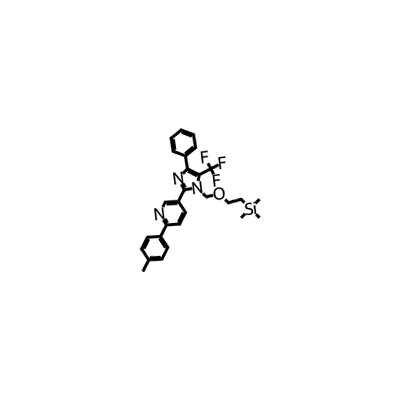 Cc1ccc(-c2ccc(-c3nc(-c4ccccc4)c(C(F)(F)F)n3COCC[Si](C)(C)C)cn2)cc1